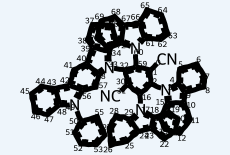 N#Cc1c(-n2c3ccccc3c3ccccc32)c(-n2c3ccccc3c3ccccc32)c(C#N)c(-n2c3ccccc3c3cc4c5ccccc5n(-c5ccccc5)c4cc32)c1-n1c2ccccc2c2ccccc21